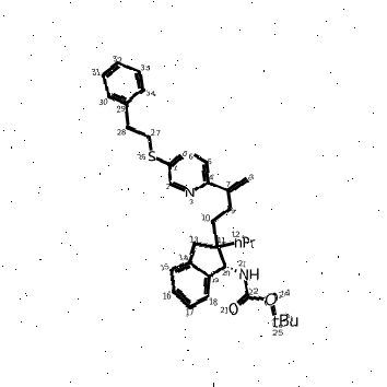 C=C(/C=N\C(=C/C)C(=C)CCC1(CCC)Cc2ccccc2[C@H]1NC(=O)OC(C)(C)C)SCCc1ccccc1